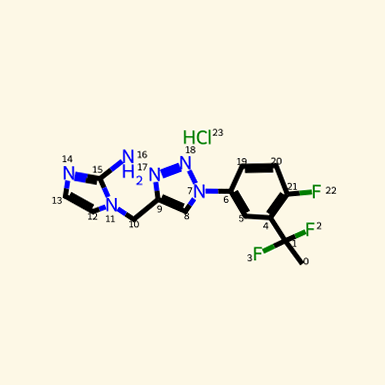 CC(F)(F)c1cc(-n2cc(Cn3ccnc3N)nn2)ccc1F.Cl